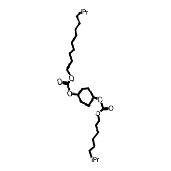 CC(C)CCCCCCCCCOC(=O)OC1CCC(OC(=O)OCCCCCCC(C)C)CC1